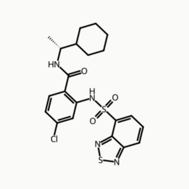 C[C@@H](NC(=O)c1ccc(Cl)cc1NS(=O)(=O)c1cccc2nsnc12)C1CCCCC1